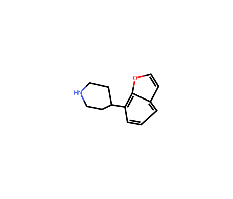 c1cc(C2CCNCC2)c2occc2c1